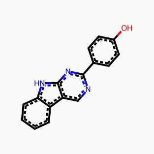 Oc1ccc(-c2ncc3c(n2)[nH]c2ccccc23)cc1